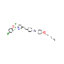 C=CCCCCCOC1CCC(/C=C/C2CCC(CCc3ccc(C(F)(F)Oc4ccc(F)cc4)nc3)CC2)CC1